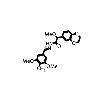 COc1cc(/C=N/NC(=O)C(OC)c2ccc3c(c2)OCCO3)cc(OC)c1C